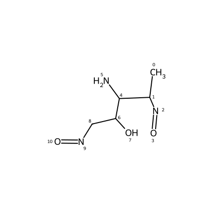 CC(N=O)C(N)C(O)CN=O